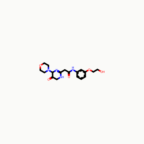 O=C(CC1=NC(N2CCOCC2)C(=O)CN1)Nc1cccc(OCCO)c1